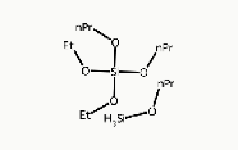 CCCO[SiH3].CCCO[Si](OCC)(OCC)OCCC